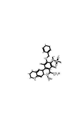 Cc1c(OCC2=CCCC=C2)c(N(C)S(C)(=O)=O)c(C)c(C(OC(C)(C)C)C(=O)O)c1C1C=C2CCCOC2=CC1